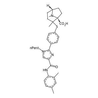 CCCCCn1cc(C(=O)Nc2ccc(C)cc2C)nc1-c1ccc(SC2(C)CC[C@@H]3CC[C@@]2(C(=O)O)N3C)cc1